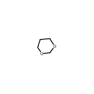 [CH]1CO[CH]OC1